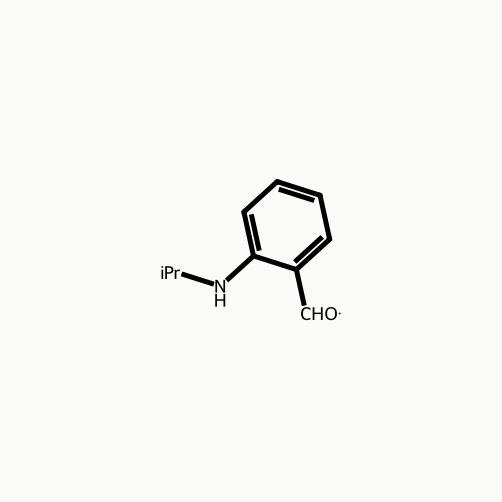 CC(C)Nc1ccccc1[C]=O